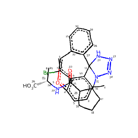 Cc1ccc2oc3c(Br)c2c1C1(NN=NN1C1CCCC1C(=O)N[C@@H](C)C(=O)O)c1ccccc1-3